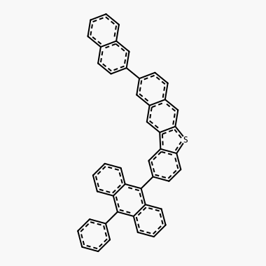 c1ccc(-c2c3ccccc3c(-c3ccc4sc5cc6ccc(-c7ccc8ccccc8c7)cc6cc5c4c3)c3ccccc23)cc1